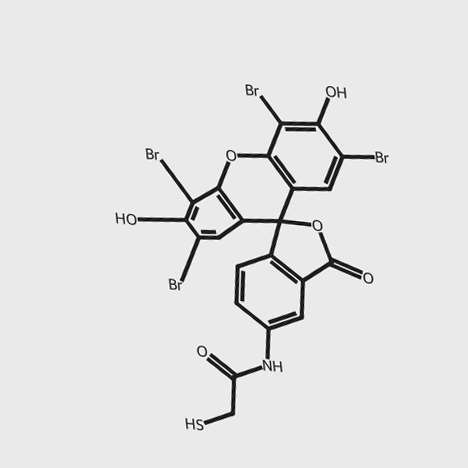 O=C(CS)Nc1ccc2c(c1)C(=O)OC21c2cc(Br)c(O)c(Br)c2Oc2c1cc(Br)c(O)c2Br